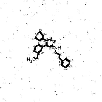 CCc1cccc(-c2cc(NCCCc3ccccc3)ncc2-c2ccncc2)c1